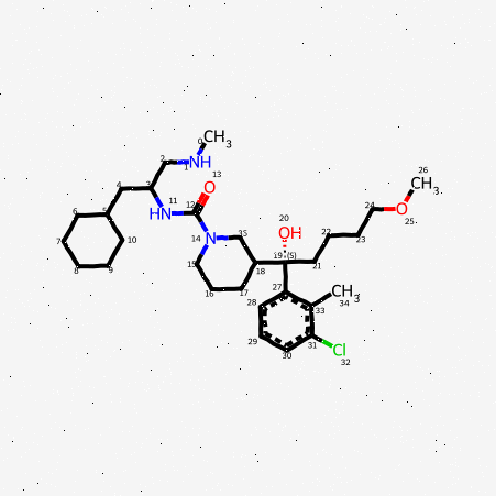 CNCC(CC1CCCCC1)NC(=O)N1CCCC([C@@](O)(CCCCOC)c2cccc(Cl)c2C)C1